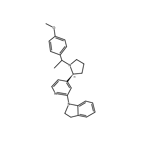 COc1ccc(C(C)N2CCC[C@H]2c2ccnc(N3CCc4ccccc43)c2)cc1